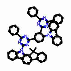 CC1(C)c2ccccc2-c2ccc3c4ccccc4n(-c4nc(-c5ccccc5)nc(-c5ccc(-n6c7ccccc7c7ccccc76)c(-c6nc(-c7ccccc7)nc(-c7ccccc7)n6)c5)n4)c3c21